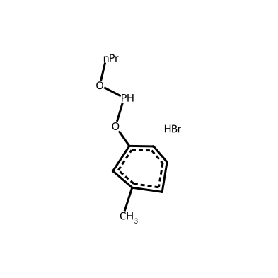 Br.CCCOPOc1cccc(C)c1